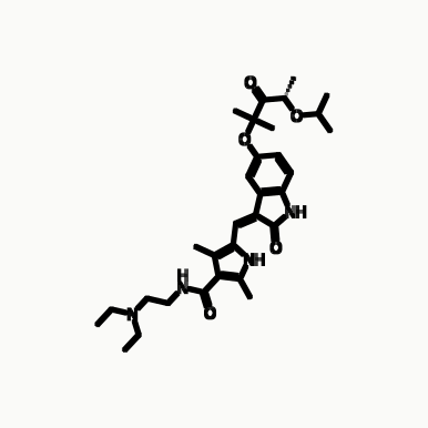 CCN(CC)CCNC(=O)c1c(C)[nH]c(/C=C2\C(=O)Nc3ccc(OC(C)(C)C(=O)[C@H](C)OC(C)C)cc32)c1C